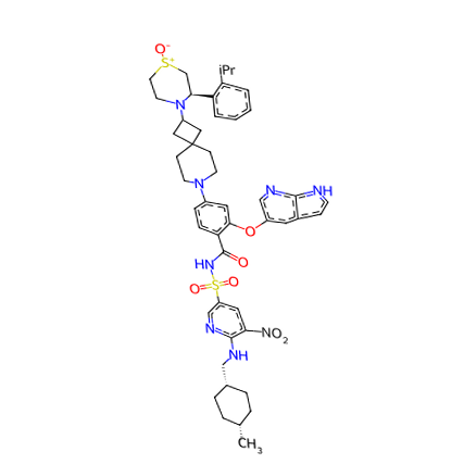 CC(C)c1ccccc1[C@@H]1C[S+]([O-])CCN1C1CC2(CCN(c3ccc(C(=O)NS(=O)(=O)c4cnc(NC[C@H]5CC[C@@H](C)CC5)c([N+](=O)[O-])c4)c(Oc4cnc5[nH]ccc5c4)c3)CC2)C1